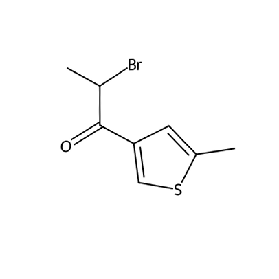 Cc1cc(C(=O)C(C)Br)cs1